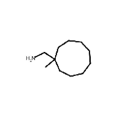 CC1(CN)CCCCCCCC1